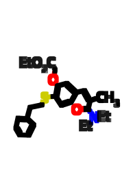 CCOC(=O)COc1cc(/C=C(/C)C(=O)N(CC)CC)ccc1SCCc1ccccc1